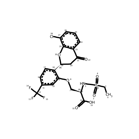 CCS(=O)(=O)N[C@H](COc1cc(C(F)(F)F)ccc1[C@H]1CC(=O)c2cccc(Cl)c2O1)C(=O)O